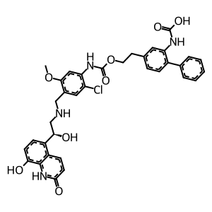 COc1cc(NC(=O)OCCc2ccc(-c3ccccc3)c(NC(=O)O)c2)c(Cl)cc1CNC[C@@H](O)c1ccc(O)c2[nH]c(=O)ccc12